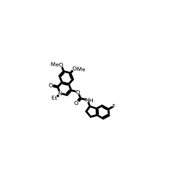 CCn1cc(OC(=O)NC2CCc3ccc(F)cc32)c2cc(OC)c(OC)cc2c1=O